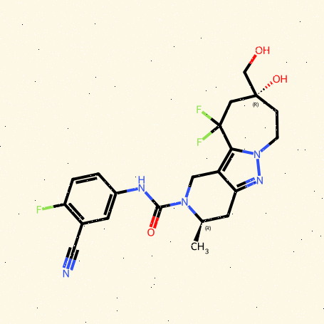 C[C@@H]1Cc2nn3c(c2CN1C(=O)Nc1ccc(F)c(C#N)c1)C(F)(F)C[C@@](O)(CO)CC3